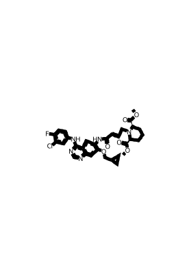 COC(=O)[C@@H]1CCC[C@@H](C(=O)OC)N1CC=CC(=O)Nc1cc2c(Nc3ccc(F)c(Cl)c3)ncnc2cc1OCC1CC1